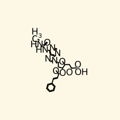 CCNC(=O)Nc1ncnc2c1ncn2C1OC(CC(=O)C(=O)O)C2OC(C=Cc3ccccc3)OC21